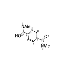 CNC(=O)c1ccc(C(O)NC)cc1